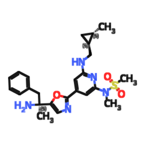 C[C@H]1C[C@@H]1CNc1cc(-c2ncc([C@@](C)(N)Cc3ccccc3)o2)cc(N(C)S(C)(=O)=O)n1